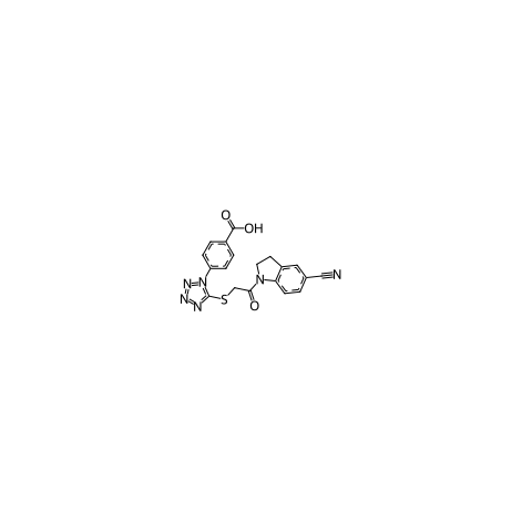 N#Cc1ccc2c(c1)CCN2C(=O)CSc1nnnn1-c1ccc(C(=O)O)cc1